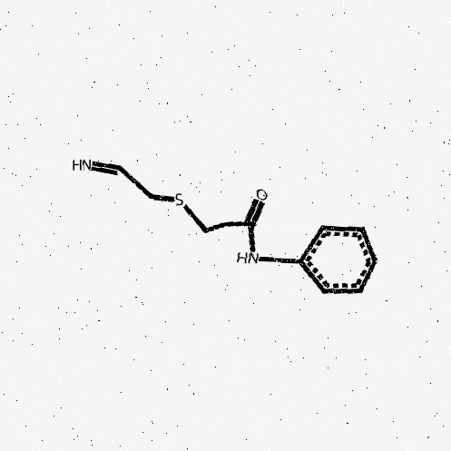 N=CCSCC(=O)Nc1ccccc1